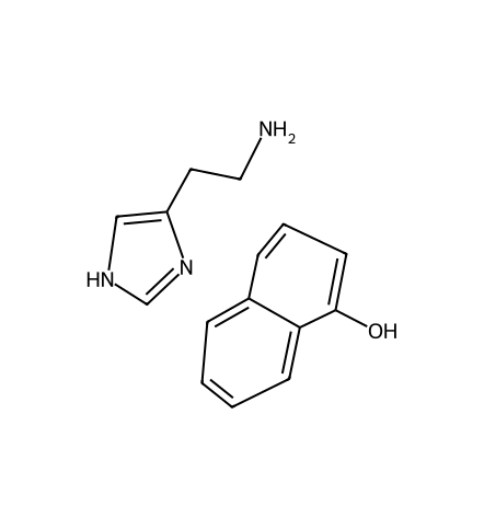 NCCc1c[nH]cn1.Oc1cccc2ccccc12